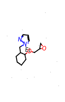 CC[N+]1(CC2CCCCC2OCC2CO2)C=CC=N1